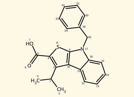 CC(C)c1c(C(=O)O)sc2c1c1ccccc1n2Cc1ccccc1